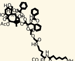 CCOC(=O)[C@H](CCCCNC(=O)COCC(=O)O[C@@H](C(=O)O[C@H]1C[C@@]2(O)[C@@H](OC(=O)c3ccccc3)[C@@H]3[C@]4(OC(C)=O)CO[C@@H]4C[C@H](O)[C@@]3(C)C(=O)[C@H](OC(C)=O)C(=C1C)C2(C)C)[C@@H](NC(=O)c1ccccc1)c1ccccc1)NC(=O)CCCCCN